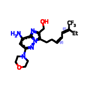 CC/C(=C\C=C/CCc1c(CO)nc2c(N)cc(N3CCOCC3)nn12)C(F)(F)F